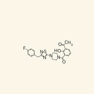 CC(=O)c1cccc(C(=O)N2CCN(c3nc(Cc4ccc(F)cc4)ns3)CC2)c1O